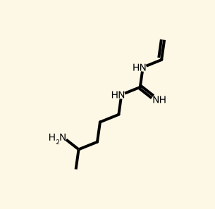 C=CNC(=N)NCCCC(C)N